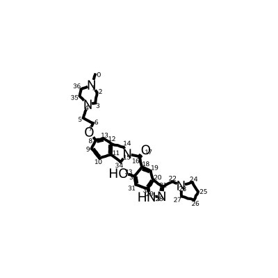 CN1CCN(CCOc2ccc3c(c2)CN(C(=O)c2cc4c(CN5CCCC5)n[nH]c4cc2O)C3)CC1